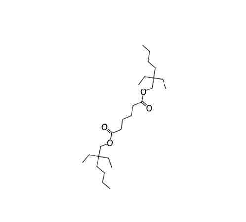 CCCCC(CC)(CC)COC(=O)CCCCC(=O)OCC(CC)(CC)CCCC